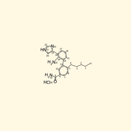 CCCCCc1ccc(C(N)=O)cc1-c1cccc(-c2c[nH]cn2)c1N.Cl